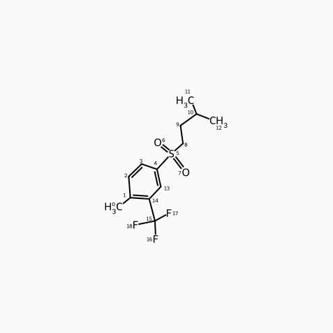 Cc1ccc(S(=O)(=O)CCC(C)C)cc1C(F)(F)F